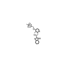 Cc1c(OCC23COC(C)(OC2)OC3)ccnc1C[S+]([O-])c1nc2ccccc2[nH]1